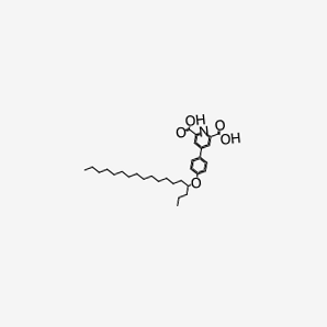 CCCCCCCCCCCCCCC(CCC)Oc1ccc(-c2cc(C(=O)O)nc(C(=O)O)c2)cc1